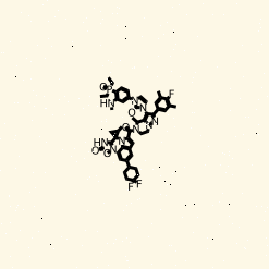 CCP(=O)(CC)c1ccc(-n2ccn(-c3c(-c4cc(C)c(F)c(C)c4)nn4c3C(C)N(C(=O)c3cc5cc(C6CCC(F)(F)CC6)ccc5n3C3(c5noc(=O)[nH]5)CC3C)CC4)c2=O)cc1NC